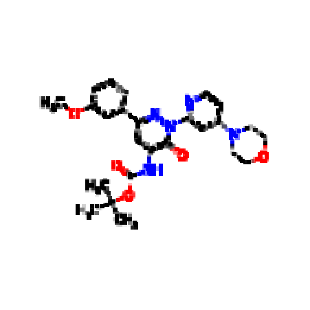 COc1cccc(-c2cc(NC(=O)OC(C)(C)C)c(=O)n(-c3cc(N4CCOCC4)ccn3)n2)c1